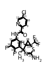 C[C@]1(c2cc(NC(=O)c3ccc(Cl)cn3)cc(F)c2F)N=C(N)S[C@@]2(C(F)F)C[C@@H]12